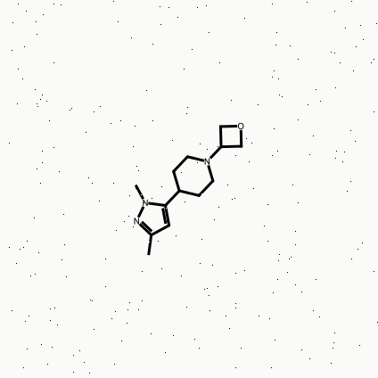 Cc1cc(C2CCN(C3COC3)CC2)n(C)n1